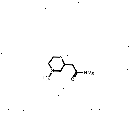 CNC(=O)CC1CN(C)CC[N]1